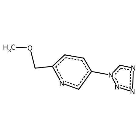 COCc1ccc(-n2cnnn2)cn1